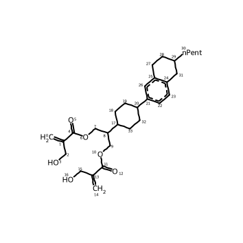 C=C(CO)C(=O)OCC(COC(=O)C(=C)CO)C1CCC(c2ccc3c(c2)CCC(CCCCC)C3)CC1